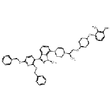 Cc1c(O)cccc1OC1CCC(OCC(C)N2CCN(c3cccc4c(-c5ccc(OCc6ccccc6)nc5OCc5ccccc5)nn(C)c34)CC2)CC1